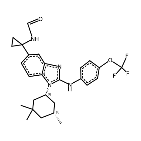 C[C@H]1C[C@@H](n2c(Nc3ccc(OC(F)(F)F)cc3)nc3cc(C4(NC=O)CC4)ccc32)CC(C)(C)C1